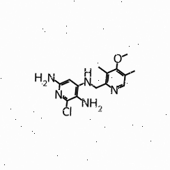 COc1c(C)cnc(CNc2cc(N)nc(Cl)c2N)c1C